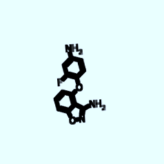 Nc1ccc(Oc2cccc3onc(N)c23)c(F)c1